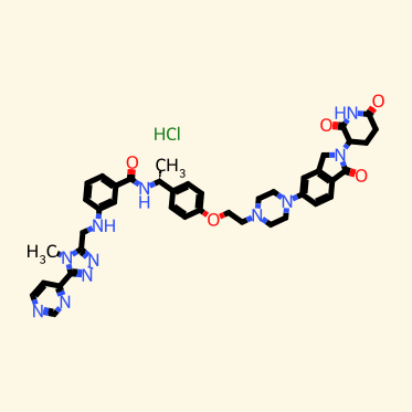 C[C@@H](NC(=O)c1cccc(NCc2nnc(-c3ccncn3)n2C)c1)c1ccc(OCCN2CCN(c3ccc4c(c3)CN(C3CCC(=O)NC3=O)C4=O)CC2)cc1.Cl